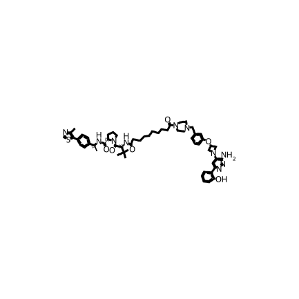 Cc1ncsc1-c1ccc([C@H](C)NC(=O)[C@@H]2CCCN2C(=O)[C@@H](NC(=O)CCCCCCCCC(=O)N2CCN(Cc3cccc(OC4CN(c5cc(-c6ccccc6O)nnc5N)C4)c3)CC2)C(C)(C)C)cc1